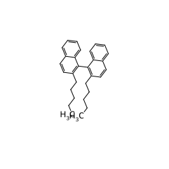 CCCCCc1ccc2ccccc2c1-c1c(CCCCC)ccc2ccccc12